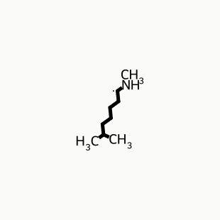 CN[CH]CCCCC(C)C